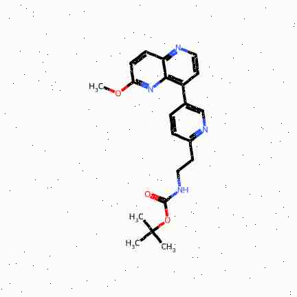 COc1ccc2nccc(-c3ccc(CCNC(=O)OC(C)(C)C)nc3)c2n1